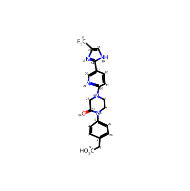 O=C(O)Cc1ccc(N2CCN(c3ccc(-c4nc(C(F)(F)F)c[nH]4)cn3)CC2=O)cc1